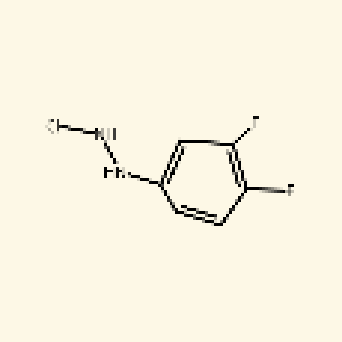 Fc1ccc(NNCl)cc1F